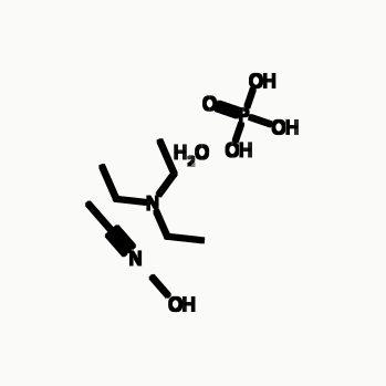 CC#N.CCN(CC)CC.CO.O.O=P(O)(O)O